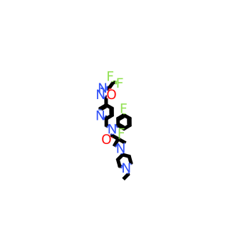 CCN1CCC(N2CC(F)(C(=O)N(Cc3ccc(-c4nnc(C(F)F)o4)cn3)c3cccc(F)c3)C2)CC1